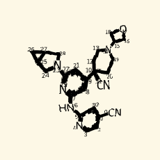 N#Cc1ccnc(Nc2cc(C3(C#N)CCN(C4COC4)CC3)cc(N3CC4CC4C3)n2)c1